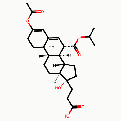 CC(=O)OC1=CC2=C[C@H](C(=O)OC(C)C)[C@@H]3[C@H](CC[C@@]4(C)[C@H]3CC[C@@]4(O)CCC(=O)O)[C@@]2(C)CC1